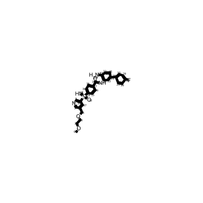 COCCOCc1cncc(S(=N)(=O)c2ccc(C(=O)Nc3cc(-c4ccc(F)cc4)ccc3N)cc2)c1